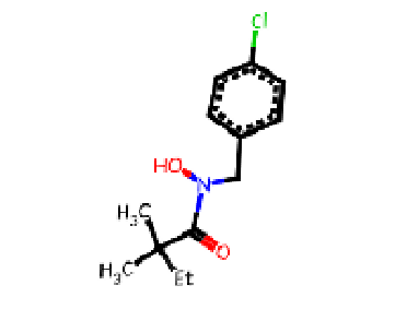 CCC(C)(C)C(=O)N(O)Cc1ccc(Cl)cc1